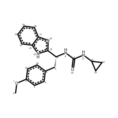 COc1ccc(C[C@@H](NC(=O)NC2CC2)c2nc3ccccc3[nH]2)cc1